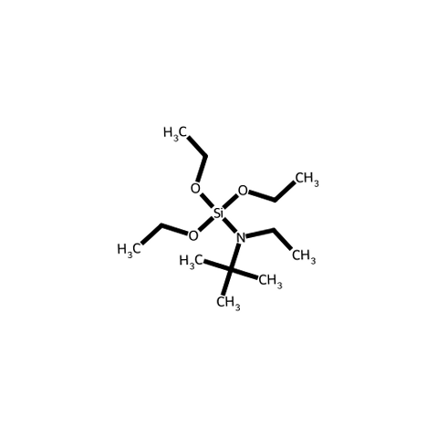 CCO[Si](OCC)(OCC)N(CC)C(C)(C)C